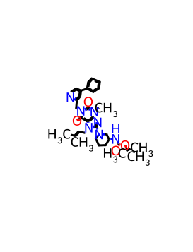 CC(C)=CCn1c(N2CCCC(NC(=O)OC(C)(C)C)C2)nc2c1c(=O)n(Cc1cc(-c3ccccc3)ccn1)c(=O)n2C